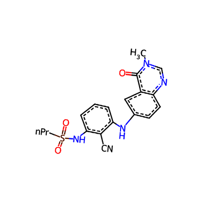 CCCS(=O)(=O)Nc1cccc(Nc2ccc3ncn(C)c(=O)c3c2)c1C#N